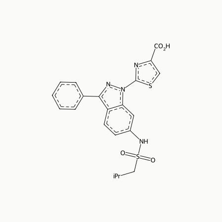 CC(C)CS(=O)(=O)Nc1ccc2c(-c3ccccc3)nn(-c3nc(C(=O)O)cs3)c2c1